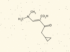 CN(C)C=C(C(=O)O)C(=O)CC1CC1